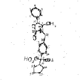 C[C@@H]1[C@H](c2ccccc2)OC(=O)N1Cc1ccc(C(C(=O)O)(C2CCCC2)C(C)(C)C)cc1